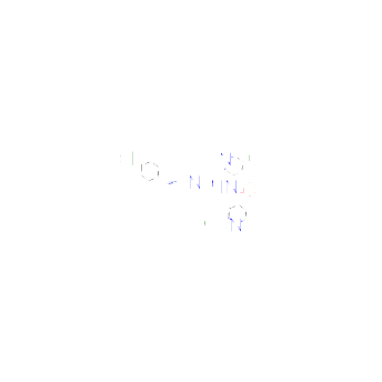 O=C(Nc1cc(Cl)cnc1C1CCN(C/C=C/c2ccc(Cl)cc2)CC1)c1ccnc(Cl)c1